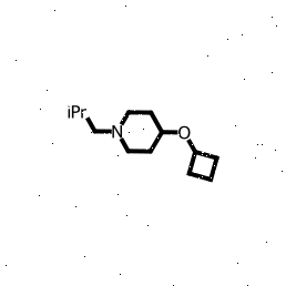 CC(C)CN1CCC(OC2CCC2)CC1